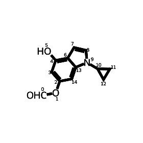 O=COc1cc(O)c2ccn(C3CC3)c2c1